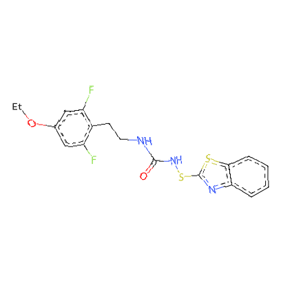 CCOc1cc(F)c(CCNC(=O)NSc2nc3ccccc3s2)c(F)c1